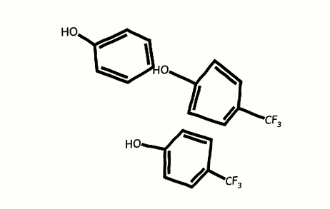 Oc1ccc(C(F)(F)F)cc1.Oc1ccc(C(F)(F)F)cc1.Oc1ccccc1